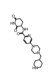 O=C1CC[C@@H](NC(=O)c2ccc(N3CCN(CC4CCNCC4)CC3)cn2)C(=O)N1